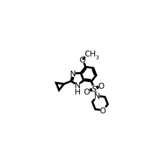 COc1ccc(S(=O)(=O)N2CCOCC2)c2[nH]c(C3CC3)nc12